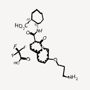 NCCCOc1ccc2ccc(C(=O)N[C@H]3CCCC[C@@H]3C(=O)O)c(=O)n2c1.O=C(O)C(F)(F)F